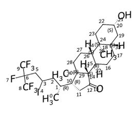 C[C@H](CC(I)CC(F)(C(F)(F)F)C(F)(F)F)[C@H]1CC(=O)[C@H]2[C@@H]3CC[C@H]4C[C@@H](O)CC[C@]4(C)[C@H]3CC[C@]12C